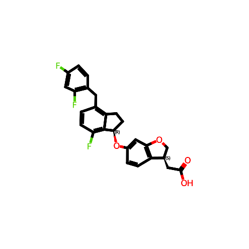 O=C(O)C[C@@H]1COc2cc(O[C@@H]3CCc4c(Cc5ccc(F)cc5F)ccc(F)c43)ccc21